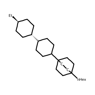 CCCCCCC12CCC(C3CCC([C@H]4CC[C@H](CC)CC4)CC3)(CC1)CC2